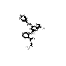 CCOC(=O)C1CCCC[C@H]1Nc1cc(NCc2cccnc2)n2ncc(Br)c2n1